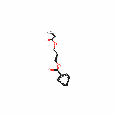 C=CC(=O)OCC=COC(=O)c1ccccc1